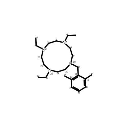 CCN1CCN(CC)CCN(Cc2c(C)cccc2C)CCN(CC)CC1